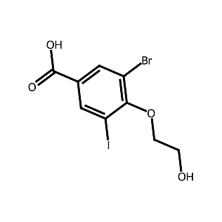 O=C(O)c1cc(Br)c(OCCO)c(I)c1